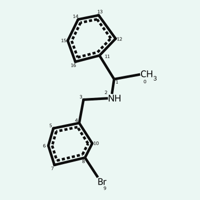 CC(NCc1cccc(Br)c1)c1ccccc1